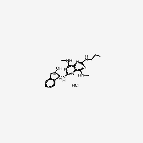 CCCNc1nc(NC)c2nc(N[C@@H]3c4ccccc4C[C@H]3O)nc(NC)c2n1.Cl